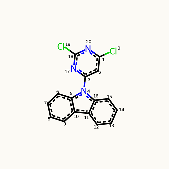 Clc1cc(-n2c3ccccc3c3ccccc32)nc(Cl)n1